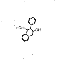 CCCCCCCCN1c2ccccc2CN(O)C1c1ccccc1